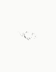 CCn1c(-c2cccnc2[C@H](C)OC)c2c3cc(ccc31)-c1csc(n1)C[C@H](NC(=O)[C@H]1Cc3ccccc3[C@H]1N)C(=O)N1CCC[C@H](N1)C(=O)OCC(C)(C)C2